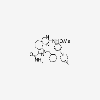 COc1cc(N2CCN(C)CC2)ccc1Nc1ncc2c(n1)-c1c(c(C(N)=O)nn1CC1CCCCC1)CCC2